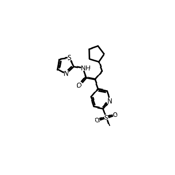 CS(=O)(=O)c1ccc(C(CC2CCCC2)C(=O)Nc2nccs2)cn1